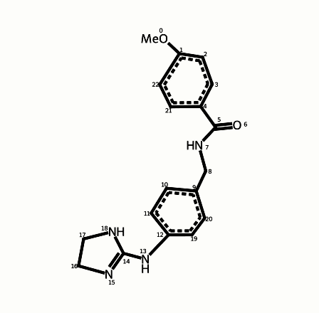 COc1ccc(C(=O)NCc2ccc(NC3=NCCN3)cc2)cc1